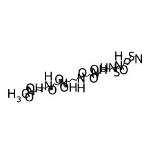 CC(=O)N(O)CCCCCNC(=O)CCC(=O)N(O)CCCCCNC(=O)CCC(=O)N(O)CCCCCNC(=S)NC(=O)c1ccc(SC#N)cc1